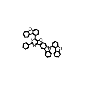 c1ccc(-c2nc(-c3cccc4oc5ccccc5c34)c3oc4cc5c(cc4c3n2)c2ccccc2n5-c2cccc3oc4ccccc4c23)cc1